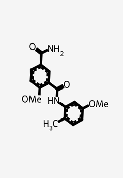 COc1ccc(C)c(NC(=O)c2cc(C(N)=O)ccc2OC)c1